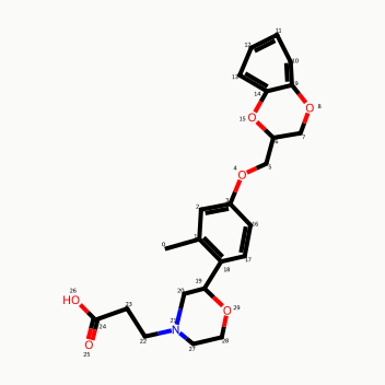 Cc1cc(OCC2COc3ccccc3O2)ccc1C1CN(CCC(=O)O)CCO1